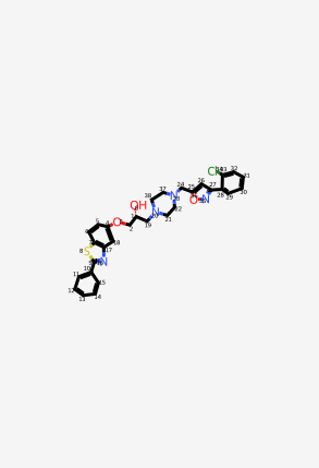 O[C@@H](COc1ccc2sc(-c3ccccc3)nc2c1)CN1CCN(Cc2cc(-c3ccccc3Cl)no2)CC1